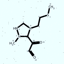 CSCCN1CNN(C)C1C(=O)C=O